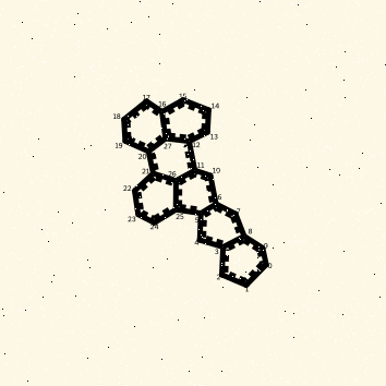 c1ccc2cc3c(cc2c1)cc1c2cccc4cccc(c5cccc3c51)c42